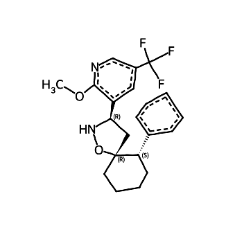 COc1ncc(C(F)(F)F)cc1[C@H]1C[C@@]2(CCCC[C@H]2c2ccccc2)ON1